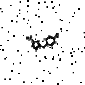 Cc1cnn(CC2C=CC(Cl)=CC2)c1